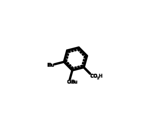 CCC(C)c1cccc(C(=O)O)c1OCC(C)C